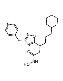 O=C(C[C@@H](CCCC1CCCCC1)c1nc(Cc2ccncc2)no1)NO